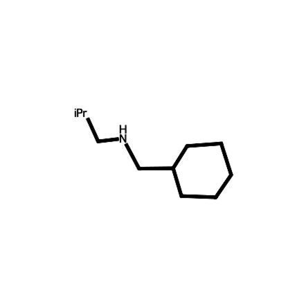 CC(C)CNCC1CCCCC1